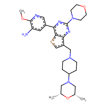 COc1ncc(-c2nc(N3CCOCC3)nc3c(CN4CCC(N5C[C@@H](C)O[C@@H](C)C5)CC4)csc23)cc1N